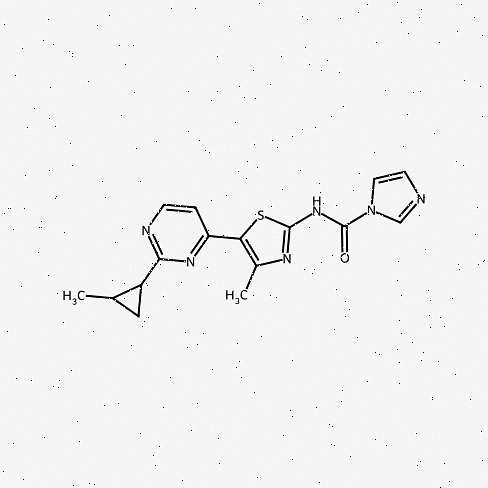 Cc1nc(NC(=O)n2ccnc2)sc1-c1ccnc(C2CC2C)n1